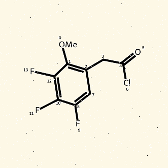 COc1c(CC(=O)Cl)cc(F)c(F)c1F